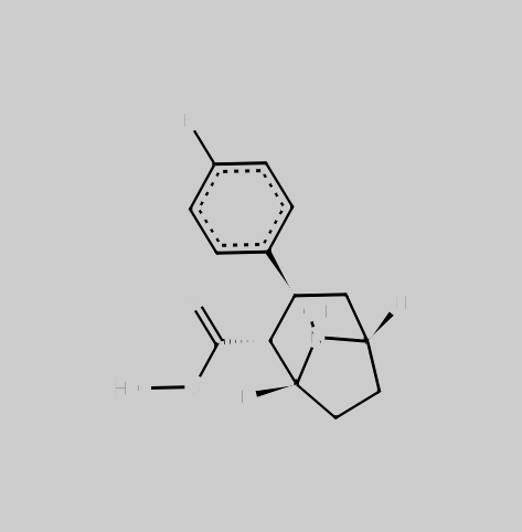 COC(=O)[C@@H]1[C@@H](c2ccc(F)cc2)C[C@@H]2CC[C@H]1N2C